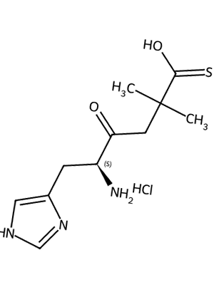 CC(C)(CC(=O)[C@@H](N)Cc1c[nH]cn1)C(O)=S.Cl